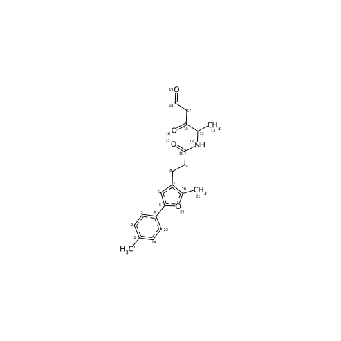 Cc1ccc(-c2cc(CCC(=O)NC(C)C(=O)CC=O)c(C)o2)cc1